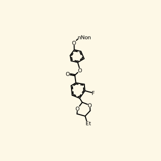 CCCCCCCCCOc1ccc(OC(=O)c2ccc(C3OCC(CC)CO3)c(F)c2)cc1